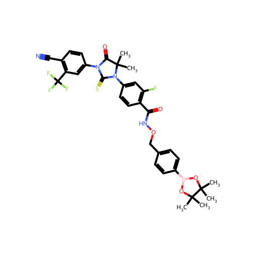 CC1(C)C(=O)N(c2ccc(C#N)c(C(F)(F)F)c2)C(=S)N1c1ccc(C(=O)NOCc2ccc(B3OC(C)(C)C(C)(C)O3)cc2)c(F)c1